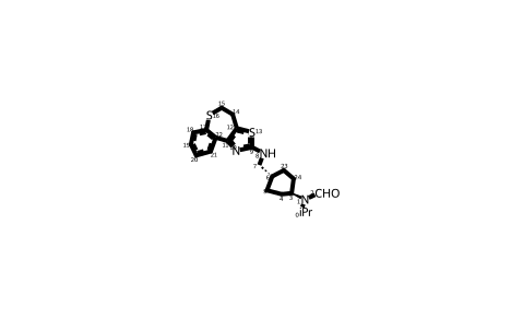 CC(C)N(C=O)[C@H]1CC[C@H](CNc2nc3c(s2)CCSc2ccccc2-3)CC1